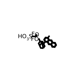 Cc1ccc(C23CC4CC(CC(COC(=O)C(F)(F)S(=O)(=O)O)(C4)C2)C3)c2cc3ccccc3cc12